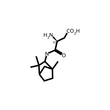 CC12CCC(C1)C(C)(C)C2[N]C(=O)[C@@H](N)CC(=O)O